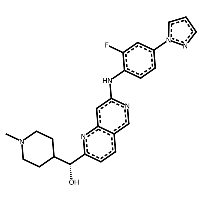 CN1CCC([C@@H](O)c2ccc3cnc(Nc4ccc(-n5cccn5)cc4F)cc3n2)CC1